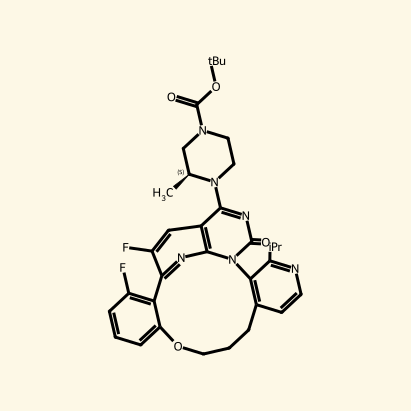 CC(C)c1nccc2c1-n1c(=O)nc(N3CCN(C(=O)OC(C)(C)C)C[C@@H]3C)c3cc(F)c(nc31)-c1c(F)cccc1OCCC2